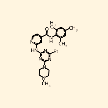 CCc1nc(Nc2cc(C(=O)Nc3c(C)cc(C)cc3C)ccn2)nc(N2CCN(C)CC2)n1